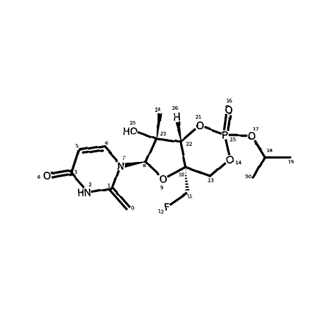 C=C1NC(=O)C=CN1[C@@H]1O[C@]2(CF)COP(=O)(OC(C)C)O[C@H]2[C@@]1(C)O